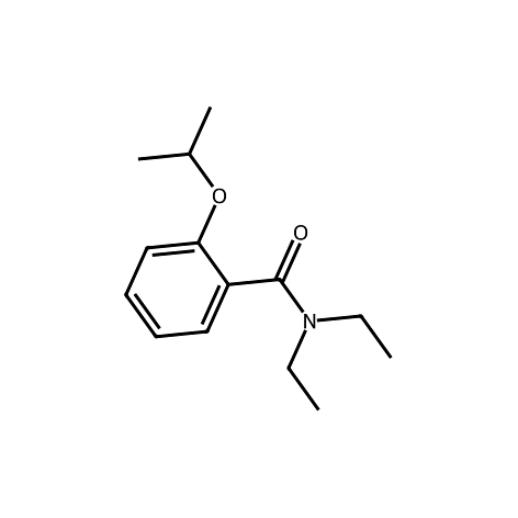 CCN(CC)C(=O)c1ccccc1OC(C)C